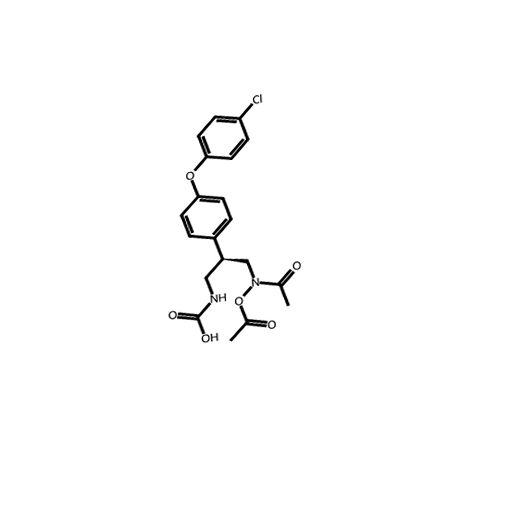 CC(=O)ON(C[C@@H](CNC(=O)O)c1ccc(Oc2ccc(Cl)cc2)cc1)C(C)=O